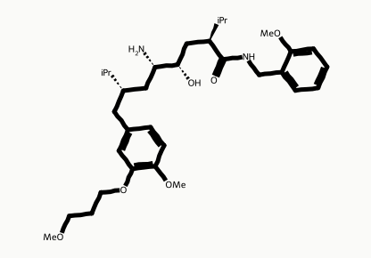 COCCCOc1cc(C[C@@H](C[C@H](N)[C@@H](O)C[C@H](C(=O)NCc2ccccc2OC)C(C)C)C(C)C)ccc1OC